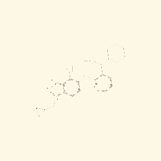 OC(c1cccnc1Oc1ccc2c(nnn2CC2CC2)c1Cl)C1CCCCC1